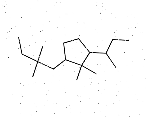 CCC(C)C1CCC(CC(C)(C)CC)C1(C)C